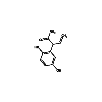 C=CC(C(N)=O)c1cc(O)ccc1O